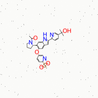 CC(=O)N1CCC[C@@H]1c1cc2[nH]c(-c3ccc(C(C)(C)O)cn3)cc2cc1Oc1ccc(S(C)(=O)=O)nc1